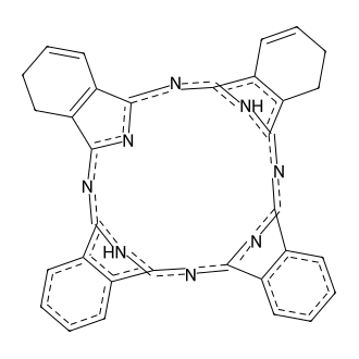 C1=CC2=C(CC1)c1nc2nc2[nH]c(nc3nc(nc4[nH]c(n1)c1ccccc41)-c1ccccc1-3)c1c2C=CCC1